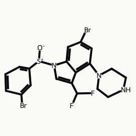 [O-][S+](c1cccc(Br)c1)n1cc(C(F)F)c2c(N3CCNCC3)cc(Br)cc21